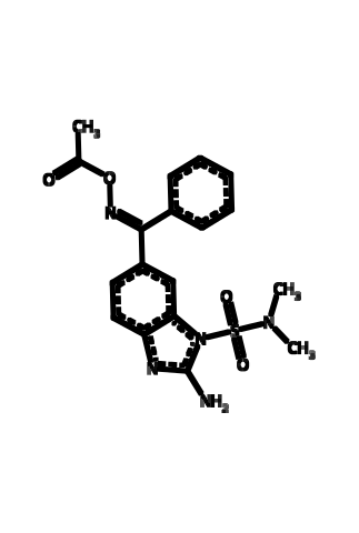 CC(=O)ON=C(c1ccccc1)c1ccc2nc(N)n(S(=O)(=O)N(C)C)c2c1